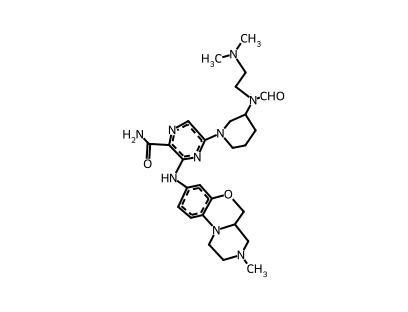 CN(C)CCN(C=O)C1CCCN(c2cnc(C(N)=O)c(Nc3ccc4c(c3)OCC3CN(C)CCN43)n2)C1